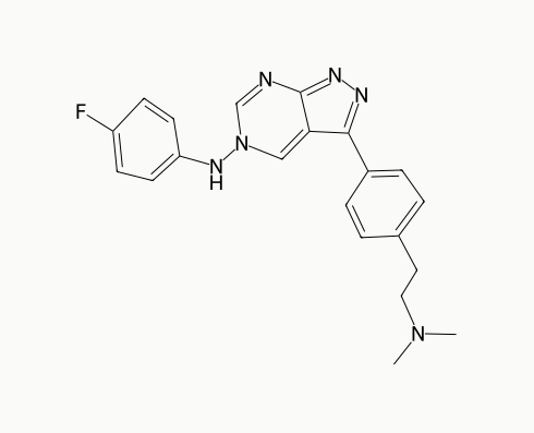 CN(C)CCc1ccc(-c2nnc3ncn(Nc4ccc(F)cc4)cc2-3)cc1